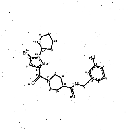 O=C(NCc1cccc(Cl)c1)C1CCN(C(=O)c2cc(Br)n(C3CCCCO3)n2)CC1